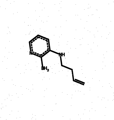 Bc1ncccc1NCCC=C